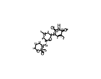 Cc1cn(C2CN(C)C[C@@H](CN3CCCOP3(C)=O)O2)c(=O)[nH]c1=O